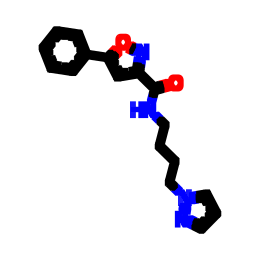 O=C(NCCCCn1cccn1)c1cc(-c2ccccc2)on1